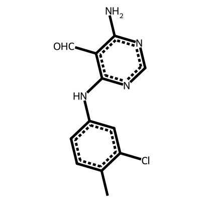 Cc1ccc(Nc2ncnc(N)c2C=O)cc1Cl